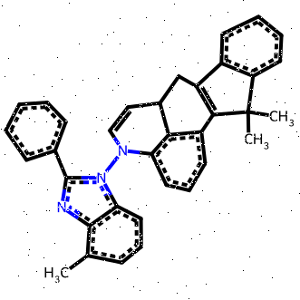 Cc1cccc2c1nc(-c1ccccc1)n2N1C=CC2CC3=C(c4cccc1c42)C(C)(C)c1ccccc13